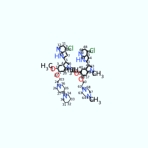 COc1cc2c(-c3cc4c(Cl)ccnc4[nH]3)cn(C)c2cc1OCCN1CCC(N2CCCCC2)CC1.COc1cc2c(-c3cc4c(Cl)ccnc4[nH]3)cn(C)c2cc1OCCN1CCN(C)CC1